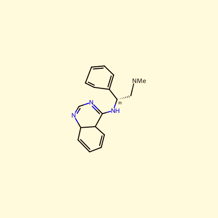 CNC[C@H](NC1=NC=NC2C=CC=CC12)c1ccccc1